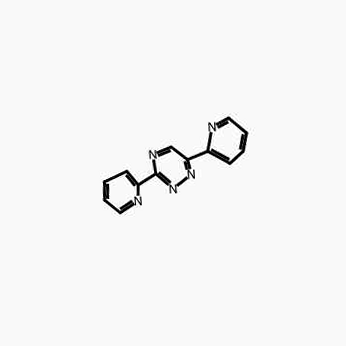 c1ccc(-c2cnc(-c3ccccn3)nn2)nc1